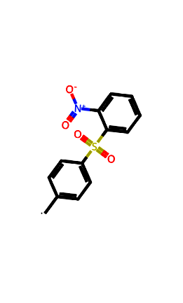 [CH2]c1ccc(S(=O)(=O)c2ccccc2[N+](=O)[O-])cc1